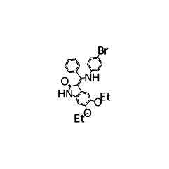 CCOc1cc2c(cc1OCC)C(=C(Nc1ccc(Br)cc1)c1ccccc1)C(=O)N2